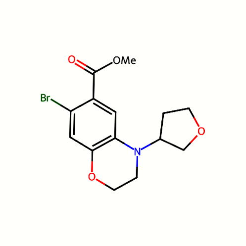 COC(=O)c1cc2c(cc1Br)OCCN2C1CCOC1